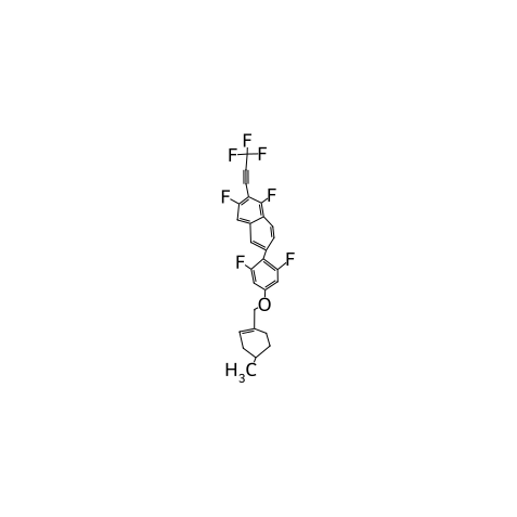 CC1CC=C(COc2cc(F)c(-c3ccc4c(F)c(C#CC(F)(F)F)c(F)cc4c3)c(F)c2)CC1